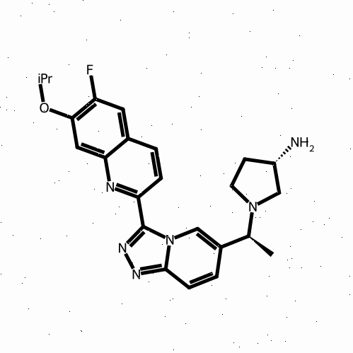 CC(C)Oc1cc2nc(-c3nnc4ccc([C@H](C)N5CC[C@H](N)C5)cn34)ccc2cc1F